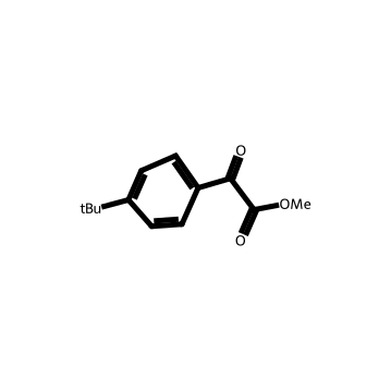 COC(=O)C(=O)c1ccc(C(C)(C)C)cc1